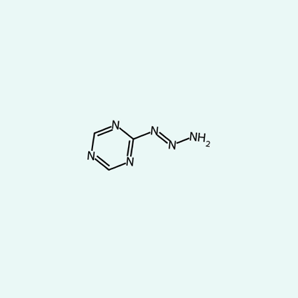 NN=Nc1ncncn1